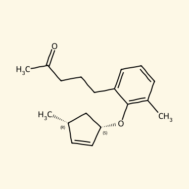 CC(=O)CCCc1cccc(C)c1O[C@@H]1C=C[C@H](C)C1